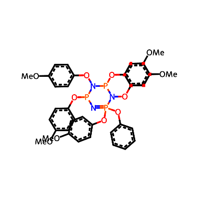 COc1ccc(ON2P(Oc3ccc(OC)cc3)N=P(Oc3ccccc3)(Oc3ccc(OC)cc3)N(Oc3ccc(OC)cc3)P2Oc2ccc(OC)cc2)cc1